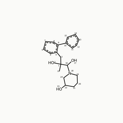 CC(O)(Cc1ccccc1-c1ccccc1)C(O)N1CCCC(O)C1